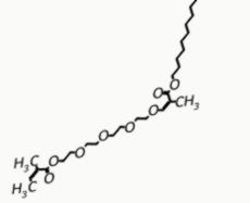 CC=C(C)C(=O)OCCOCCOCCOCCOC=C(C)C(=O)OCCCCCCCCCCCBr